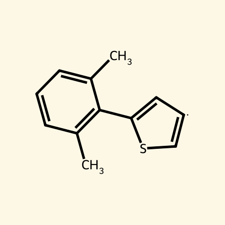 Cc1cccc(C)c1-c1c[c]cs1